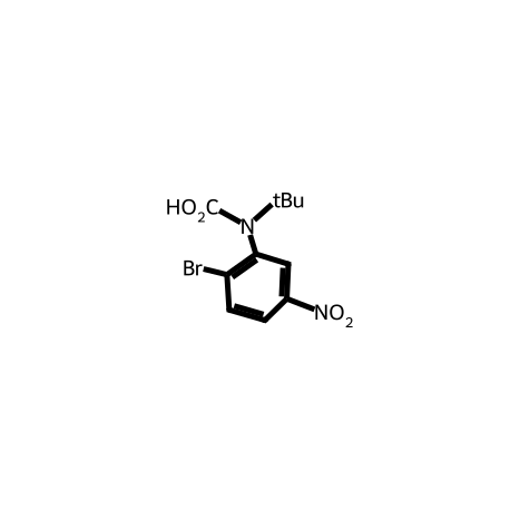 CC(C)(C)N(C(=O)O)c1cc([N+](=O)[O-])ccc1Br